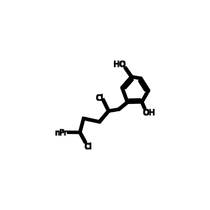 CCCC(Cl)CCC(Cl)Cc1cc(O)ccc1O